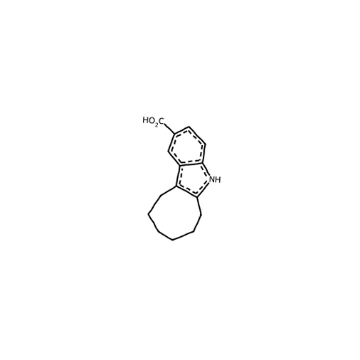 O=C(O)c1ccc2[nH]c3c(c2c1)CCCCCC3